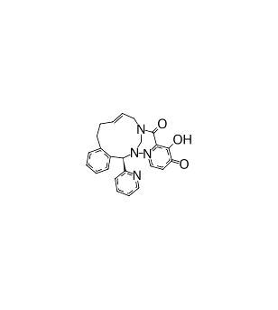 O=C1c2c(O)c(=O)ccn2N2CN1C/C=C/CCc1ccccc1[C@@H]2c1ccccn1